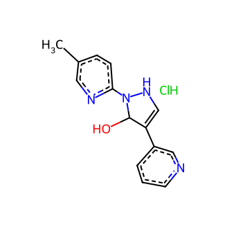 Cc1ccc(N2NC=C(c3cccnc3)C2O)nc1.Cl